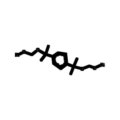 CCOCOC(C)(C)c1ccc(C(C)(C)OCOCC)cc1